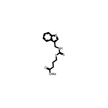 COC(=O)CCCSC(=S)NCc1csc2ccccc12